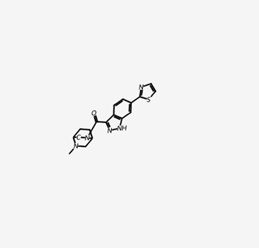 CN1CC2CCC1CN2C(=O)c1n[nH]c2cc(-c3nccs3)ccc12